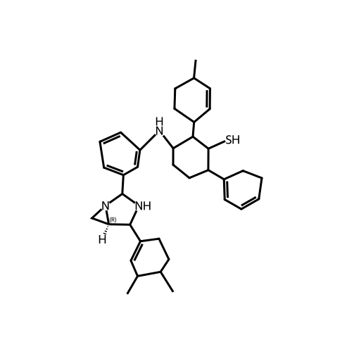 CC1C=CC(C2C(Nc3cccc(C4NC(C5=CC(C)C(C)CC5)[C@H]5CN45)c3)CCC(C3=CC=CCC3)C2S)CC1